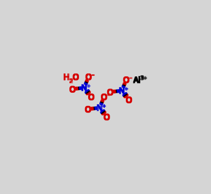 O.O=[N+]([O-])[O-].O=[N+]([O-])[O-].O=[N+]([O-])[O-].[Al+3]